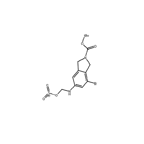 CC(C)(C)OC(=O)N1Cc2cc(NCO[SH](=O)=O)cc(Br)c2C1